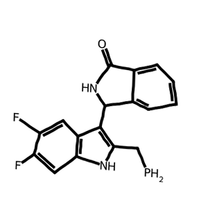 O=C1NC(c2c(CP)[nH]c3cc(F)c(F)cc23)c2ccccc21